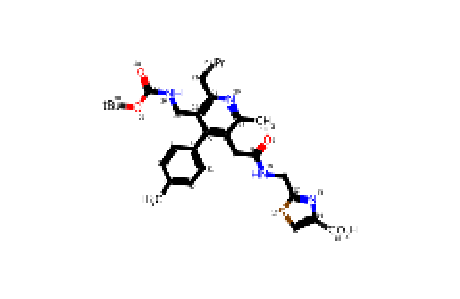 Cc1ccc(-c2c(CC(=O)NCc3nc(C(=O)O)cs3)c(C)nc(CC(C)C)c2CNC(=O)OC(C)(C)C)cc1